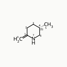 C=C1CC[C@H](C)CN1